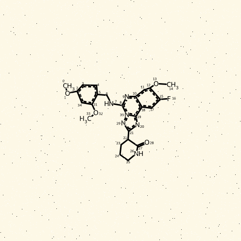 COc1ccc(CNc2nc3cc(OC)c(F)cc3c3nc(C4CCCNC4=O)nn23)c(OC)c1